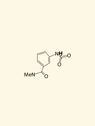 CNC(=O)c1cccc(N[SH](=O)=O)c1